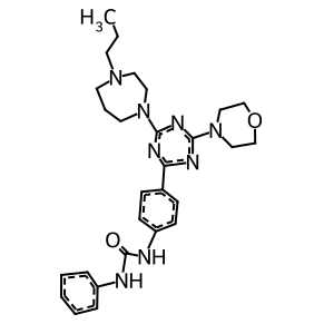 CCCN1CCCN(c2nc(-c3ccc(NC(=O)Nc4ccccc4)cc3)nc(N3CCOCC3)n2)CC1